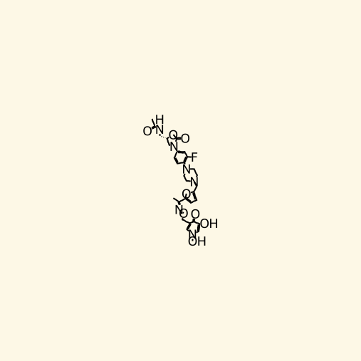 CC(=O)NC[C@H]1CN(c2ccc(N3CCN(Cc4ccc(/C(C)=N\OCc5cn(O)cc(O)c5=O)o4)CC3)c(F)c2)C(=O)O1